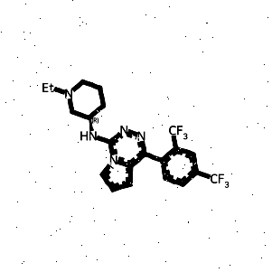 CCN1CCC[C@@H](Nc2nnc(-c3ccc(C(F)(F)F)cc3C(F)(F)F)c3cccn23)C1